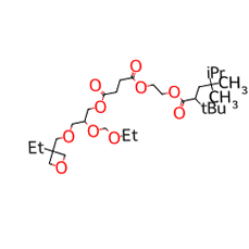 CCOCOC(COCC1(CC)COC1)COC(=O)CCC(=O)OCCOC(=O)C(CC(C)(C)C(C)C)C(C)(C)C